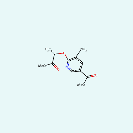 COC(=O)c1cnc(O[C@@H](C)C(=O)OC)c([N+](=O)[O-])c1